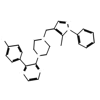 CC(=O)c1ccc(-c2nccnc2N2CCN(Cc3cnn(-c4ccccc4)c3C)CC2)cc1